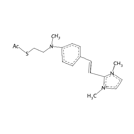 CC(=O)SCCN(C)c1ccc(/C=C/c2n(C)cc[n+]2C)cc1